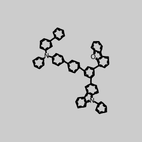 c1ccc(-c2cccc(N(c3ccccc3)c3ccc(-c4ccc(-c5cc(-c6ccc7c(c6)c6ccccc6n7-c6ccccc6)cc(-c6cccc7c6oc6ccccc67)c5)cc4)cc3)c2)cc1